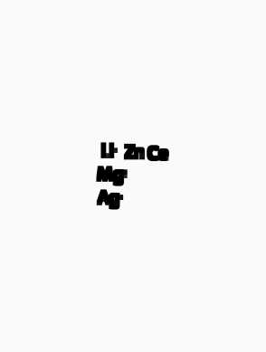 [Ag].[Ce].[Li].[Mg].[Zn]